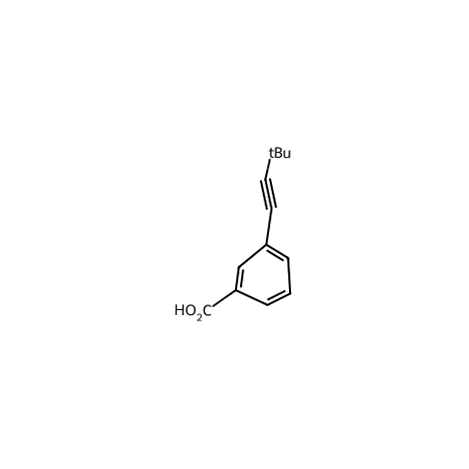 CC(C)(C)C#Cc1cccc(C(=O)O)c1